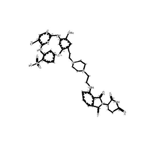 COc1cc(CCN2CCN(CCNc3cccc4c3C(=O)N(C3CCC(=O)NC3=O)C4=O)CC2)c(C)cc1Nc1ncc(Cl)c(Nc2ccccc2S(=O)(=O)C(C)C)n1